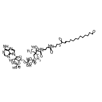 CC(C)(COP(=O)(O)OP(=O)(O)OC[C@H]1O[C@@H](n2cnc3c(N)ncnc32)[C@H](O)[C@@H]1OP(=O)(O)O)[C@@H](O)C(=O)NCCC(=O)NCCSC(=O)C=CCCCCCCCCCCC=O